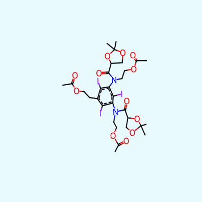 CC(=O)OCCc1c(I)c(N(CCOC(C)=O)C(=O)C2COC(C)(C)O2)c(I)c(N(CCOC(C)=O)C(=O)C2COC(C)(C)O2)c1I